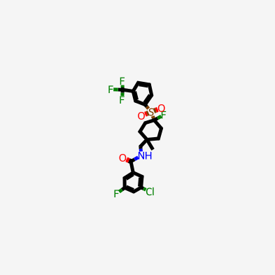 CC1(CNC(=O)c2cc(F)cc(Cl)c2)CCC(F)(S(=O)(=O)c2cccc(C(F)(F)F)c2)CC1